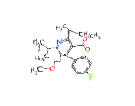 COCCc1c(C(C)C)nc(C(C)C)c(C(=O)OC)c1-c1ccc(F)cc1